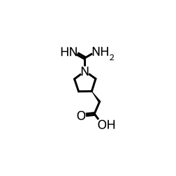 N=C(N)N1CC[C@H](CC(=O)O)C1